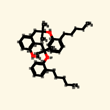 CCCCCc1ccccc1OC(C)(C)Cc1cccc(O)c1CC(C)(C)Oc1ccccc1CCCCC